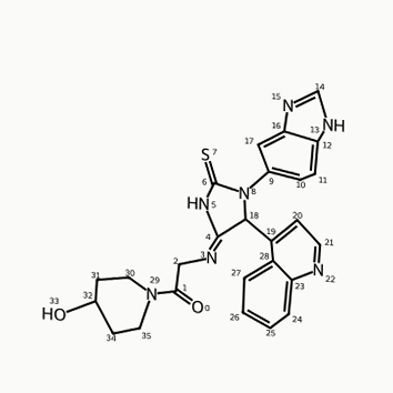 O=C(C/N=C1\NC(=S)N(c2ccc3[nH]cnc3c2)C1c1ccnc2ccccc12)N1CCC(O)CC1